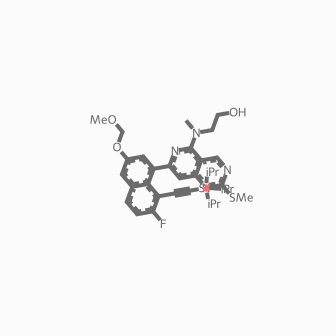 COCOc1cc(-c2cc3nc(SC)ncc3c(N(C)CCO)n2)c2c(C#C[Si](C(C)C)(C(C)C)C(C)C)c(F)ccc2c1